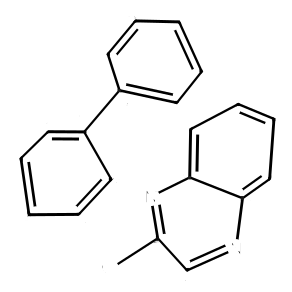 Clc1cnc2ccccc2n1.c1ccc(-c2ccccc2)cc1